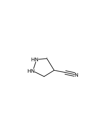 N#CC1[CH]NNC1